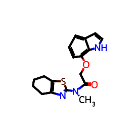 CN(C(=O)COc1cccc2cc[nH]c12)c1nc2c(s1)CCCC2